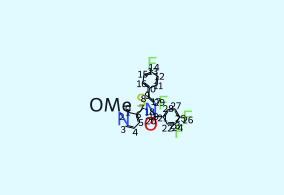 COc1ncccc1C1SC(c2ccc(F)cc2)=CN1C(=O)c1cc(F)c(F)cc1F